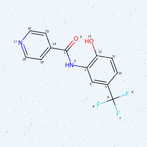 O=C(Nc1cc(C(F)(F)F)ccc1O)c1ccncc1